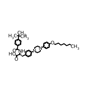 CCCCCCCOc1ccc(N2CCN(c3ccc(C[C@H](NC(=O)c4ccc(C(C)(C)C)cc4)C(=O)O)cc3)CC2)cc1